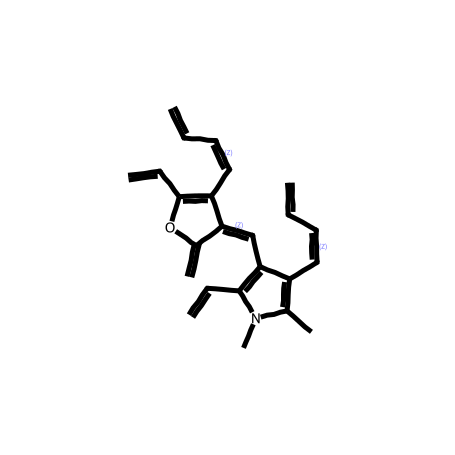 C=C/C=C\c1c(/C=c2/c(/C=C\C=C)c(C=C)oc2=C)c(C=C)n(C)c1C